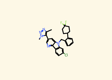 Cc1nnn(C)c1-c1cnc2c3ccc(Cl)cc3n(Cc3ccccc3C3CCC(F)(F)CC3)c2c1